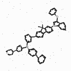 CC1(C)c2cc(-c3cccc(N(c4ccc(-c5ccccc5)cc4)c4ccc(-c5ccccc5)cc4)c3)ccc2-c2ccc(-n3cc(Oc4ccccc4)c4ccccc43)cc21